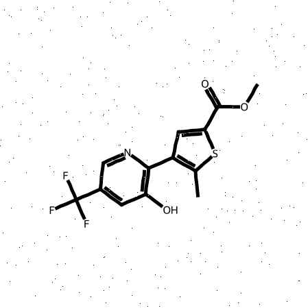 COC(=O)c1cc(-c2ncc(C(F)(F)F)cc2O)c(C)s1